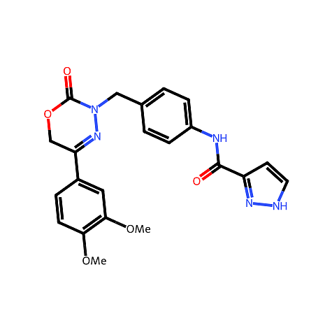 COc1ccc(C2=NN(Cc3ccc(NC(=O)c4cc[nH]n4)cc3)C(=O)OC2)cc1OC